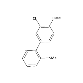 COc1ccc(-c2[c]cccc2SC)cc1Cl